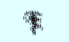 CC(=O)O[C@@H]([C@H]1C[C@@H](C)[C@H]2[C@H](O1)[C@H](O)[C@@]1(C)[C@@H]3CC[C@H]4C(C)(C)C(OC(=O)c5ccncc5)CC[C@@]45C[C@@]35CC[C@]21C)C(C)(C)O